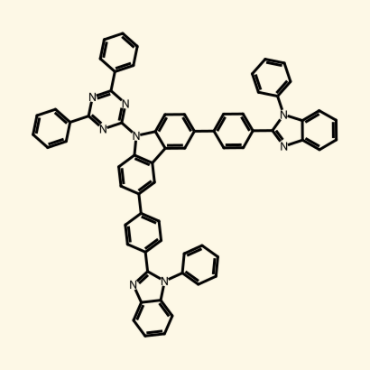 c1ccc(-c2nc(-c3ccccc3)nc(-n3c4ccc(-c5ccc(-c6nc7ccccc7n6-c6ccccc6)cc5)cc4c4cc(-c5ccc(-c6nc7ccccc7n6-c6ccccc6)cc5)ccc43)n2)cc1